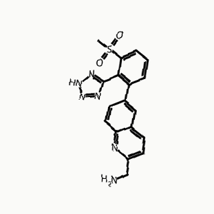 CS(=O)(=O)c1cccc(-c2ccc3nc(CN)ccc3c2)c1-c1nn[nH]n1